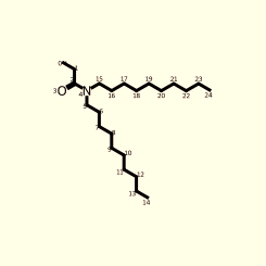 [CH2]CC(=O)N(CCCCCCCCCC)CCCCCCCCCC